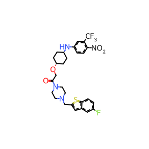 O=C(CO[C@H]1CC[C@H](Nc2ccc([N+](=O)[O-])c(C(F)(F)F)c2)CC1)N1CCN(Cc2cc3cc(F)ccc3s2)CC1